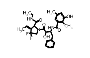 C/C=C1/C(C(=O)NCC)N(C(=O)C(O)C(Cc2ccccc2)NC(=O)c2cc(C)cc(O)c2C)CC1(F)F